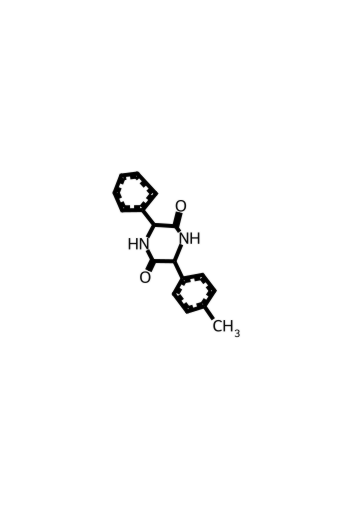 Cc1ccc(C2NC(=O)C(c3ccccc3)NC2=O)cc1